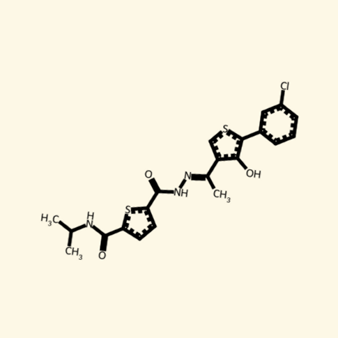 C/C(=N\NC(=O)c1ccc(C(=O)NC(C)C)s1)c1csc(-c2cccc(Cl)c2)c1O